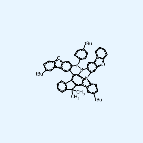 CC(C)(C)c1ccc(N2B3c4cc5c(cc4-n4c6ccc(C(C)(C)C)cc6c6c7c(c(c3c64)-c3cc4c(cc32)oc2ccc(C(C)(C)C)cc24)-c2ccccc2C7(C)C)oc2ccccc25)cc1